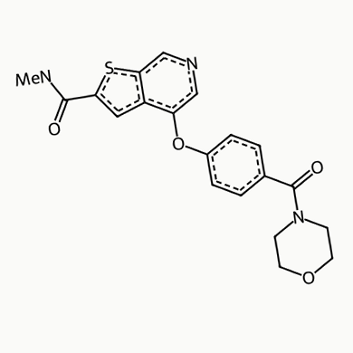 CNC(=O)c1cc2c(Oc3ccc(C(=O)N4CCOCC4)cc3)cncc2s1